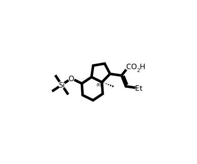 CCC=C(C(=O)O)C1CCC2C(O[Si](C)(C)C)CCC[C@]12C